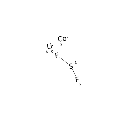 FSF.[Co].[Li]